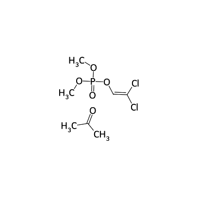 CC(C)=O.COP(=O)(OC)OC=C(Cl)Cl